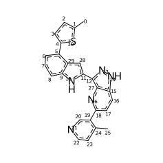 Cc1ccc(-c2cccc3[nH]c(-c4n[nH]c5ccc(-c6cnccc6C)nc45)cc23)s1